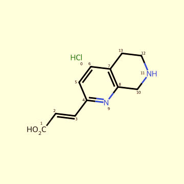 Cl.O=C(O)/C=C/c1ccc2c(n1)CNCC2